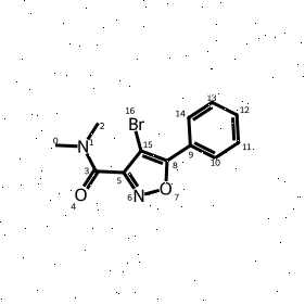 CN(C)C(=O)c1noc(-c2ccccc2)c1Br